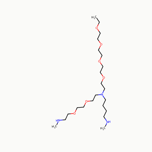 CCOCCOCCOCCOCCN(CCCCNC)CCOCCOCCNC